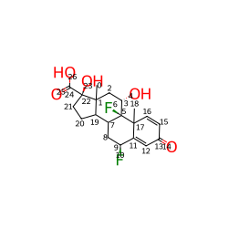 CC12C[C@H](O)[C@@]3(F)C(C[C@H](F)C4=CC(=O)C=CC43C)C1CC[C@]2(O)C(=O)O